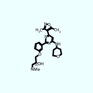 CNC[C@@H](O)COc1cccc(-c2nc(NC3CCOCC3)cc(-c3c(C)noc3C)n2)c1